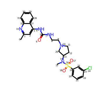 Cc1cc(NC(=O)NCCN2CCC(N(C)S(=O)(=O)c3cccc(Cl)c3)C2)c2ccccc2n1